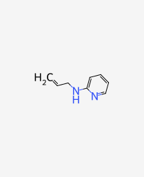 C=CCNc1ccccn1